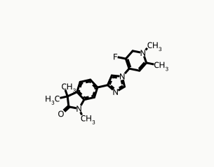 CC1=CC(n2cnc(-c3ccc4c(c3)N(C)C(=O)C4(C)C)c2)=C(F)CN1C